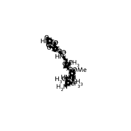 COc1cc2nc(C)nc(N[C@H](C)c3cc(N)cc(C(F)(F)F)c3)c2cc1OCC1(CN(C)C(=O)CCCNC(=O)COc2ccc3c(c2)C(=O)N(C2CCC(=O)NC2=O)C3=O)CC1